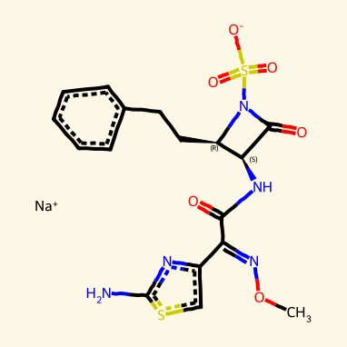 CON=C(C(=O)N[C@@H]1C(=O)N(S(=O)(=O)[O-])[C@@H]1CCc1ccccc1)c1csc(N)n1.[Na+]